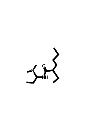 CCCCC(CC)C(=O)NC(CC)N(C)C